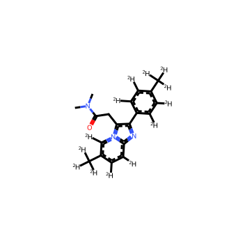 [2H]c1c([2H])c(C([2H])([2H])[2H])c([2H])c([2H])c1-c1nc2c([2H])c([2H])c(C([2H])([2H])[2H])c([2H])n2c1CC(=O)N(C)C